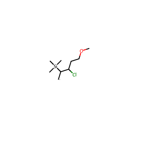 [CH2]C(C(Cl)CCOC)[Si](C)(C)C